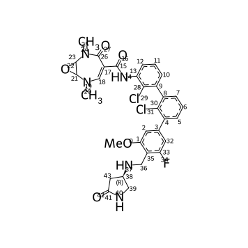 COc1cc(-c2cccc(-c3cccc(NC(=O)C4=CN(C)C5OC5N(C)C4=O)c3Cl)c2Cl)cc(F)c1CN[C@H]1CNC(=O)C1